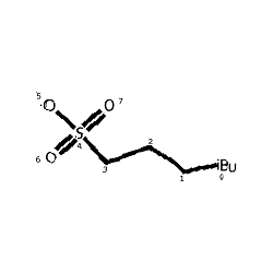 CCC(C)CCCS([O])(=O)=O